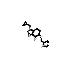 Brc1c(OCc2cscn2)ccc2c1nnn2CC1CC1